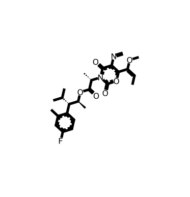 C=Nc1c(/C(=C\C)OC)oc(=O)n([C@@H](C)C(=O)O[C@@H](C)[C@H](c2ccc(F)cc2C)C(C)C)c1=O